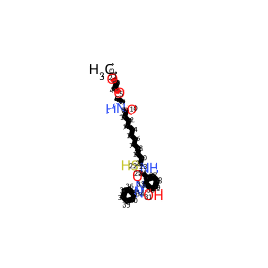 CCOCCOCCNC(=O)CCCCCCCCCCC(S)NC(=O)c1cccc(O)c1N=Nc1ccccc1